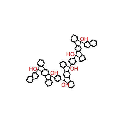 OC1(c2ccc(C3(O)c4ccccc4-c4cc5c(cc43)-c3ccccc3C5(O)c3ccc4ccccc4c3)cc2)c2ccccc2-c2cc3c(cc21)-c1ccccc1C3(O)c1ccc(C2(O)c3ccccc3-c3cc4c(cc32)-c2ccccc2C4(O)c2ccc3ccccc3c2)cc1